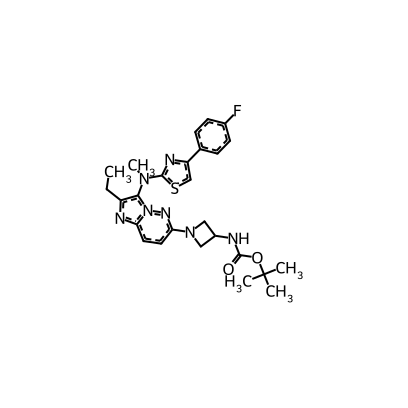 CCc1nc2ccc(N3CC(NC(=O)OC(C)(C)C)C3)nn2c1N(C)c1nc(-c2ccc(F)cc2)cs1